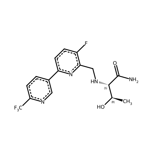 C[C@@H](O)[C@H](NCc1nc(-c2ccc(C(F)(F)F)nc2)ccc1F)C(N)=O